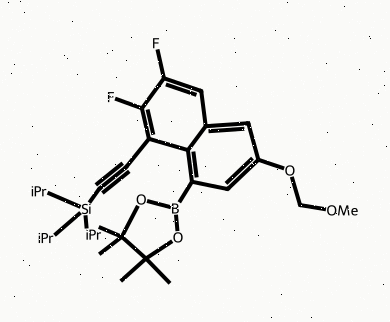 COCOc1cc(B2OC(C)(C)C(C)(C)O2)c2c(C#C[Si](C(C)C)(C(C)C)C(C)C)c(F)c(F)cc2c1